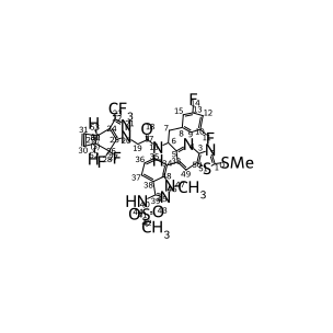 CSc1nc2nc(C(Cc3cc(F)cc(F)c3)NC(=O)Cn3nc(C(F)(F)F)c4c3C(F)(F)[C@@H]3C#C[C@H]43)c(-c3cccc4c(NS(C)(=O)=O)nn(C)c34)cc2s1